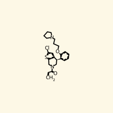 C=CC(=O)N1Cc2sc(Cl)cc2[C@@H](c2ccccc2OCCCN2CCCC2)C1